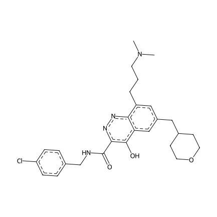 CN(C)CCCc1cc(CC2CCOCC2)cc2c(O)c(C(=O)NCc3ccc(Cl)cc3)nnc12